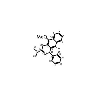 COc1c2c(cc3ccccc13)C(c1ccccc1F)N=C(N(C)C)C2